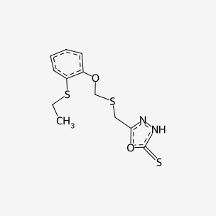 CCSc1ccccc1OCSCc1n[nH]c(=S)o1